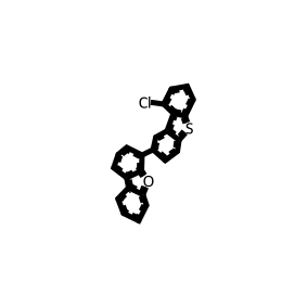 Clc1cccc2sc3ccc(-c4cccc5c4oc4ccccc45)cc3c12